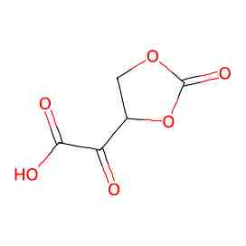 O=C1OCC(C(=O)C(=O)O)O1